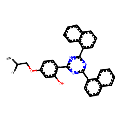 CCCCC(CC)COc1ccc(-c2nc(-c3cccc4ccccc34)nc(-c3cccc4ccccc34)n2)c(O)c1